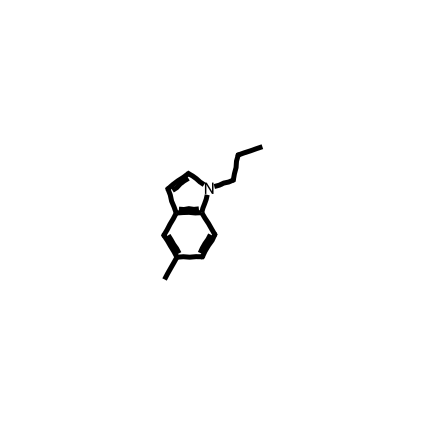 CCCn1ccc2cc(C)ccc21